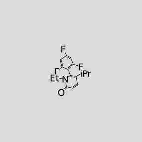 CCn1c(-c2c(F)cc(F)cc2F)c(C(C)C)ccc1=O